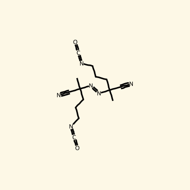 CC(C#N)(CCCN=C=O)N=NC(C)(C#N)CCCN=C=O